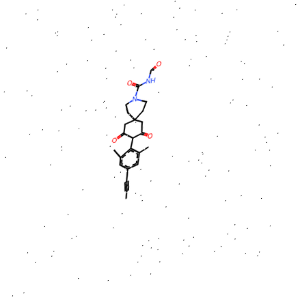 CC#Cc1cc(C)c(C2C(=O)CC3(CCN(C(=O)NC=O)CC3)CC2=O)c(C)c1